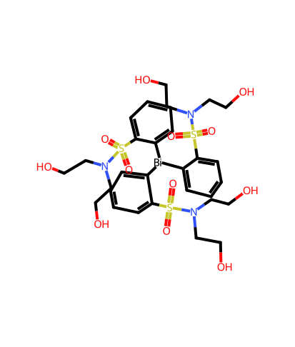 O=S(=O)(c1cccc[c]1[Bi]([c]1ccccc1S(=O)(=O)N(CCO)CCO)[c]1ccccc1S(=O)(=O)N(CCO)CCO)N(CCO)CCO